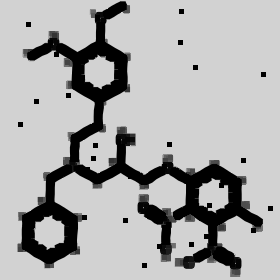 COc1ccc(CCN(Cc2ccccc2)CC(O)COc2ccc(C)c([N+](=O)[O-])c2[N+](=O)[O-])cc1OC